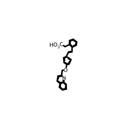 O=C(O)Cc1ccccc1C=Cc1ccc(OCc2ccc3ccccc3n2)cc1